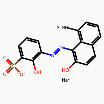 CC(=O)Nc1cccc2ccc(O)c(N=Nc3cccc(S(=O)(=O)[O-])c3O)c12.[Na+]